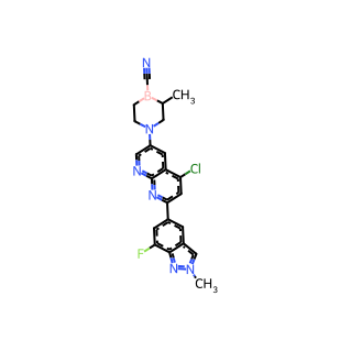 CC1CN(c2cnc3nc(-c4cc(F)c5nn(C)cc5c4)cc(Cl)c3c2)CCB1C#N